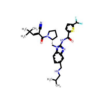 CC(C)CNCc1ccc2c(c1)nc(NC(=O)c1ccc(C(F)F)s1)n2C[C@H]1CCCN1C(=O)C(C#N)=CC(C)(C)C